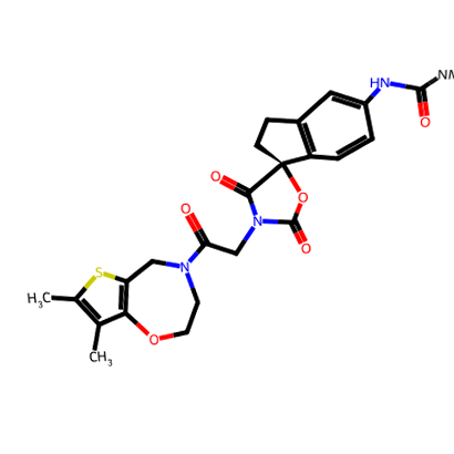 CNC(=O)Nc1ccc2c(c1)CC[C@]21OC(=O)N(CC(=O)N2CCOc3c(sc(C)c3C)C2)C1=O